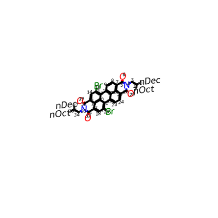 CCCCCCCCCCC(CCCCCCCC)CN1C(=O)c2ccc3c4c(Br)cc5c6c(cc(Br)c(c7ccc(c2c37)C1=O)c64)C(=O)N(CC(CCCCCCCC)CCCCCCCCCC)C5=O